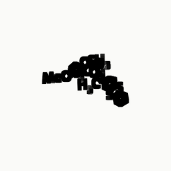 COc1ccc(OC(C)(C)C(=O)O/N=C(\C)c2ccc3c(c2)Sc2ccccc2S3)cc1